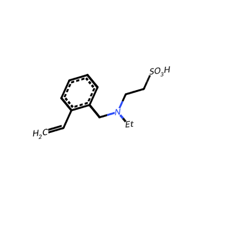 C=Cc1ccccc1CN(CC)CCS(=O)(=O)O